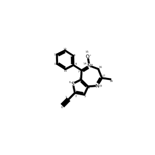 C#Cc1cc2c(s1)C(c1ccccc1)=[N+]([O-])CC(C)=N2